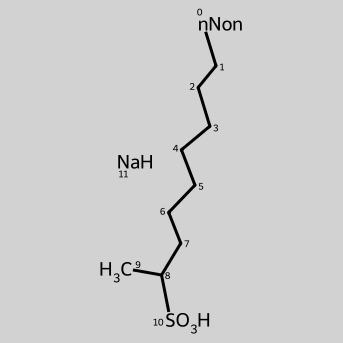 CCCCCCCCCCCCCCCCC(C)S(=O)(=O)O.[NaH]